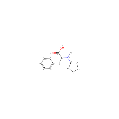 CN(C1CCCC1)C(Cc1ccccc1)C(=O)O